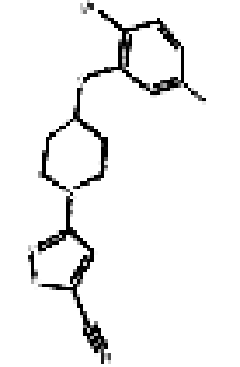 N#Cc1cc(N2CCC(Oc3cc(F)ccc3Br)CC2)no1